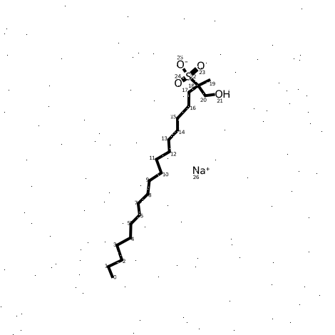 CCCCCCCCCCCCCCCCCCC(C)(CO)S(=O)(=O)[O-].[Na+]